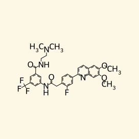 COc1cc2ccc(-c3ccc(CC(=O)Nc4cc(C(=O)NCCN(C)C)cc(C(F)(F)F)c4)c(F)c3)nc2cc1OC